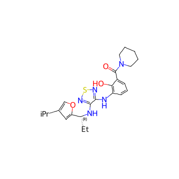 CC[C@@H](Nc1nsnc1Nc1cccc(C(=O)N2CCCCC2)c1O)c1cc(C(C)C)co1